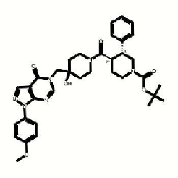 COc1ccc(-n2ncc3c(=O)n(CC4(O)CCN(C(=O)[C@@H]5CCN(C(=O)OC(C)(C)C)C[C@H]5c5ccccc5)CC4)cnc32)cc1